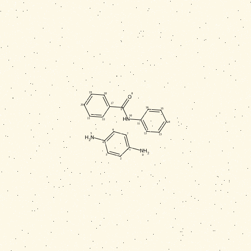 Nc1ccc(N)cc1.O=C(Nc1ccccc1)c1ccccc1